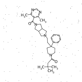 Cc1ncnc(C)c1C(=O)N1CC2CN(CCC3(c4ccccc4)CCN(C(=O)CC(C)(C)C)CC3)CC2C1